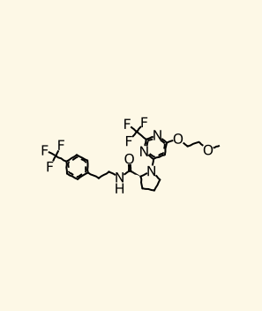 COCCOc1cc(N2CCC[C@H]2C(=O)NCCc2ccc(C(F)(F)F)cc2)nc(C(F)(F)F)n1